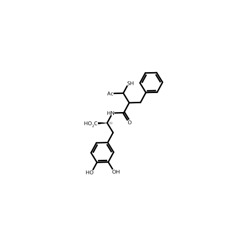 CC(=O)C(S)C(Cc1ccccc1)C(=O)N[C@@H](Cc1ccc(O)c(O)c1)C(=O)O